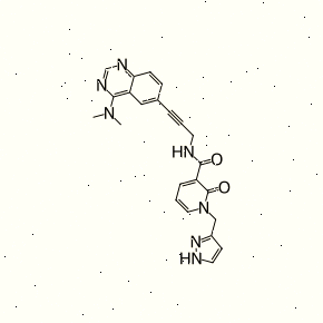 CN(C)c1ncnc2ccc(C#CCNC(=O)c3cccn(Cc4cc[nH]n4)c3=O)cc12